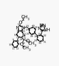 CCOc1nc2cc(-c3ccccc3)c(C(OC)OC)nc2n1Cc1ccc(-c2ccccc2-c2nnn[nH]2)cc1